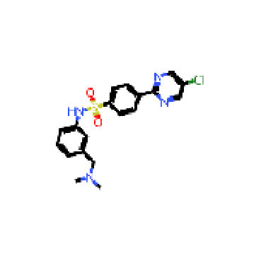 CN(C)Cc1cccc(NS(=O)(=O)c2ccc(-c3ncc(Cl)cn3)cc2)c1